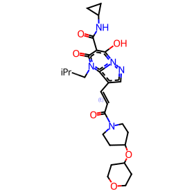 CC(C)Cn1c(=O)c(C(=O)NC2CC2)c(O)n2ncc(/C=C/C(=O)N3CCC(OC4CCOCC4)CC3)c12